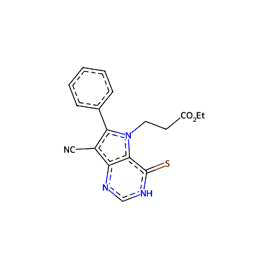 CCOC(=O)CCn1c(-c2ccccc2)c(C#N)c2nc[nH]c(=S)c21